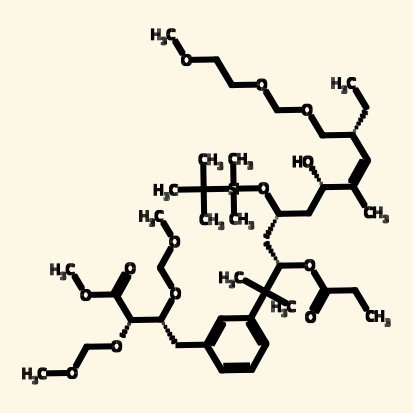 CCC(=O)O[C@@H](C[C@@H](C[C@H](O)/C(C)=C\[C@@H](CC)COCOCCOC)O[Si](C)(C)C(C)(C)C)C(C)(C)c1cccc(C[C@@H](OCOC)[C@H](OCOC)C(=O)OC)c1